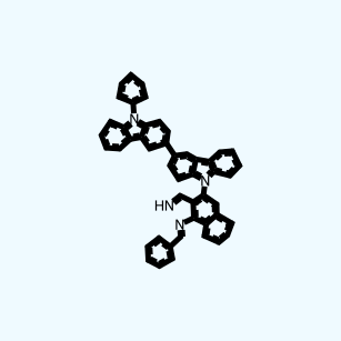 N=Cc1c(-n2c3ccccc3c3cc(-c4ccc5c(c4)c4ccccc4n5-c4ccccc4)ccc32)cc2ccccc2c1/N=C/c1ccccc1